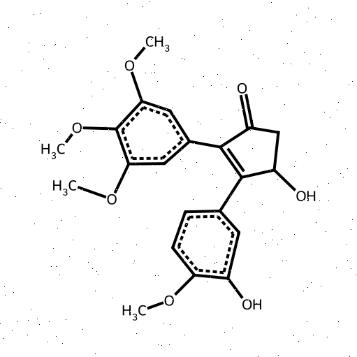 COc1ccc(C2=C(c3cc(OC)c(OC)c(OC)c3)C(=O)CC2O)cc1O